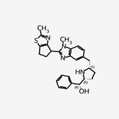 Cc1nc2c(s1)CCC2c1nc2cc(C[C@@H]3CC[C@H]([C@H](O)c4ccccc4)N3)ccc2n1C